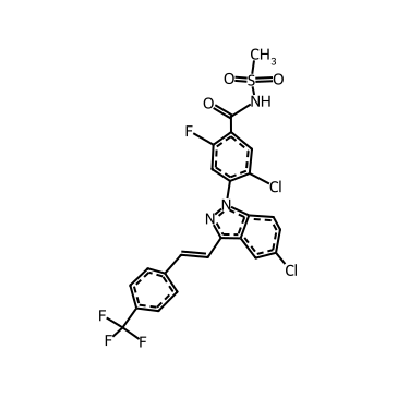 CS(=O)(=O)NC(=O)c1cc(Cl)c(-n2nc(C=Cc3ccc(C(F)(F)F)cc3)c3cc(Cl)ccc32)cc1F